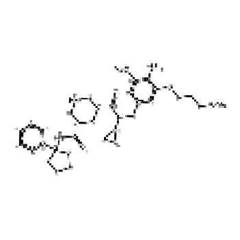 COCCCOc1cc(CN(C(=O)[C@H]2CNC[C@@H](C(=O)NC3(c4ccccc4)CCCC3)C2)C2CC2)cc(OC)c1C